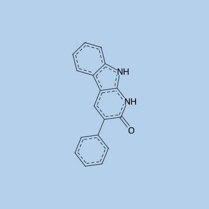 O=c1[nH]c2[nH]c3ccccc3c2cc1-c1ccccc1